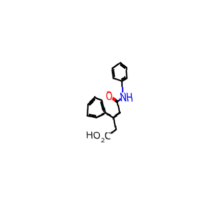 O=C(O)CC(CC(=O)Nc1ccccc1)c1ccccc1